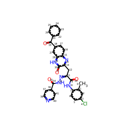 Cc1cc(Cl)ccc1NC(=O)C(Cc1nc2ccc(C(=O)c3ccccc3)cc2[nH]c1=O)=NNC(=O)c1ccncc1